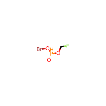 O=[PH](OBr)OCF